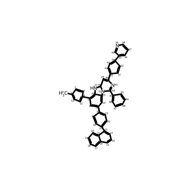 Cc1ccc(-c2cc(-c3ccc(-c4cccc5ccccc45)cc3)cc3c2NC2C=C(c4ccc(-c5cccnc5)cc4)N=C(c4ccccc4)N32)cc1